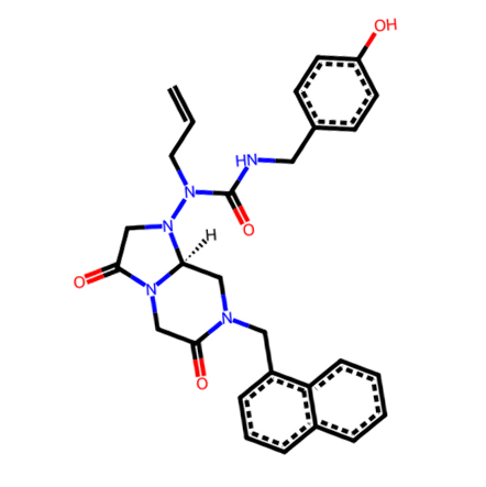 C=CCN(C(=O)NCc1ccc(O)cc1)N1CC(=O)N2CC(=O)N(Cc3cccc4ccccc34)C[C@@H]21